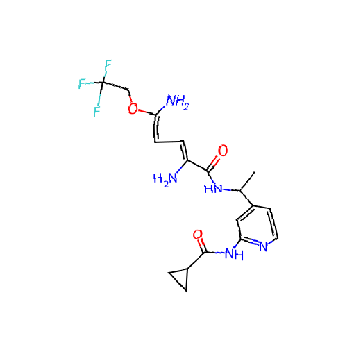 CC(NC(=O)/C(N)=C/C=C(\N)OCC(F)(F)F)c1ccnc(NC(=O)C2CC2)c1